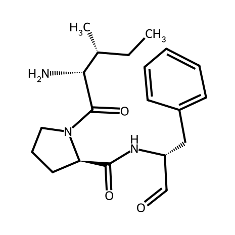 CC[C@@H](C)[C@@H](N)C(=O)N1CCC[C@@H]1C(=O)N[C@@H](C=O)Cc1ccccc1